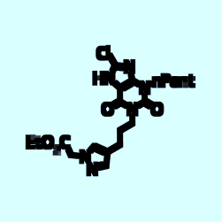 CCCCCn1c(=O)n(CCCc2cnn(CC(=O)OCC)c2)c(=O)c2[nH]c(Cl)nc21